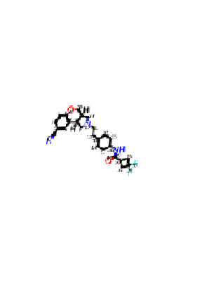 N#Cc1ccc2c(c1)[C@@H]1CN(CCC3CCC(NC(=O)C4CC(F)(F)C4)CC3)C[C@H]1CO2